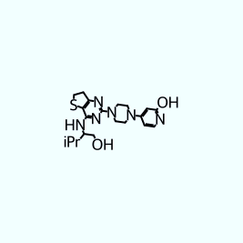 CC(C)C(CO)Nc1nc(N2CCN(c3ccnc(O)c3)CC2)nc2c1SCC2